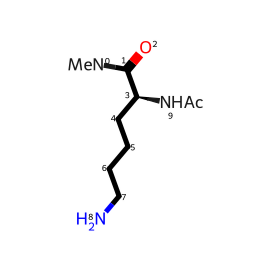 [CH2]NC(=O)[C@H](CCCCN)NC(C)=O